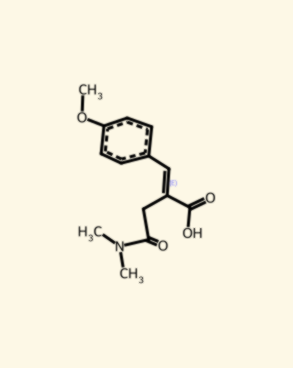 COc1ccc(/C=C(\CC(=O)N(C)C)C(=O)O)cc1